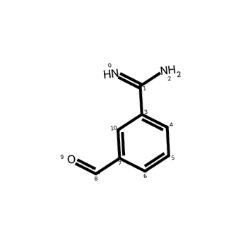 N=C(N)c1cccc([C]=O)c1